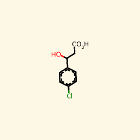 O=C(O)CC(O)c1ccc(Cl)cc1